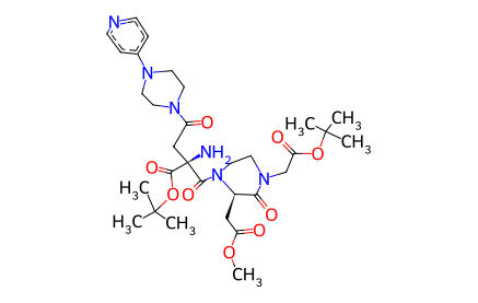 COC(=O)C[C@@H]1C(=O)N(CC(=O)OC(C)(C)C)CCN1C(=O)[C@@](N)(CC(=O)N1CCN(c2ccncc2)CC1)C(=O)OC(C)(C)C